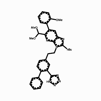 CCCCc1nc2cc(-c3ccccc3OC)c(C(OC)OC)nc2n1CCc1ccc(-c2ccccc2)c(-c2nnn[nH]2)c1